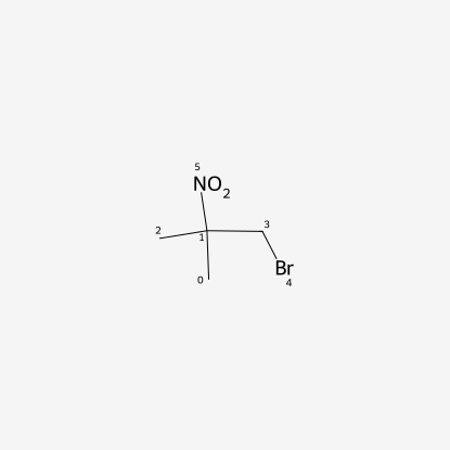 CC(C)(CBr)[N+](=O)[O-]